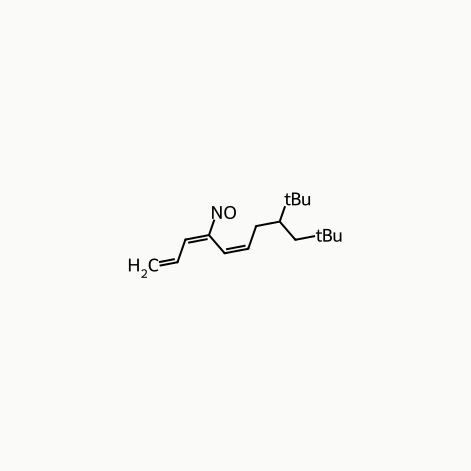 C=C/C=C(\C=C/CC(CC(C)(C)C)C(C)(C)C)N=O